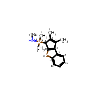 CC1=C(C)C(S(C)(C)NC(C)(C)C)c2sc3ccccc3c21